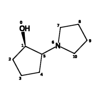 O[C@@H]1CCCC1N1CCCC1